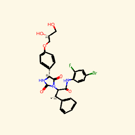 C[C@@H](c1ccccc1)C(C(=O)Nc1ccc(Br)cc1F)N1C(=O)N[C@H](c2ccc(OC[C@H](O)CO)cc2)C1=O